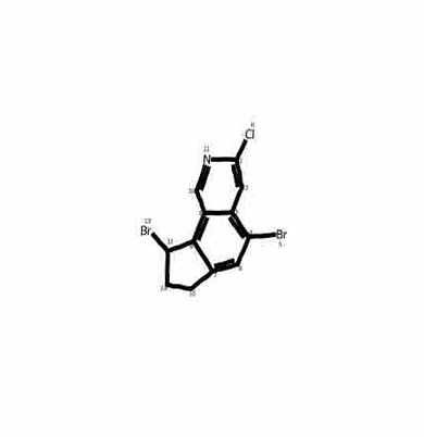 Clc1cc2c(Br)cc3c(c2cn1)C(Br)CC3